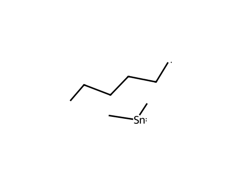 [CH2]CCCCC.[CH3][Sn][CH3]